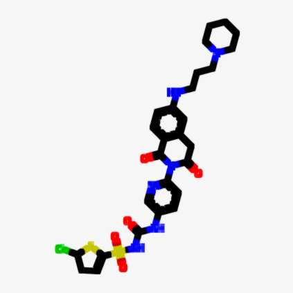 O=C(Nc1ccc(N2C(=O)Cc3cc(NCCCN4CCCCC4)ccc3C2=O)nc1)NS(=O)(=O)C1=CCC(Cl)S1